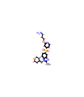 CC(C)(C)c1nc2cc(S(=O)(=O)c3ccnc(OCCCN)c3)ccc2n1CC1CCOCC1